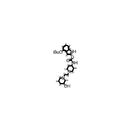 CC(C)COc1cccc2[nH]c(OC(=O)NC3CCN(CCN4CCC[C@H](O)C4)CC3)cc12